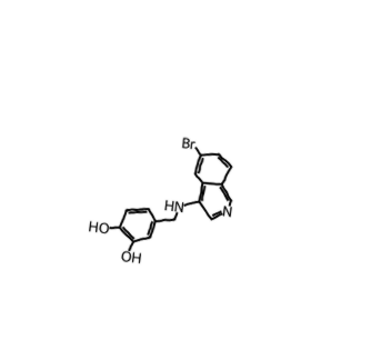 Oc1ccc(CNc2cncc3ccc(Br)cc23)cc1O